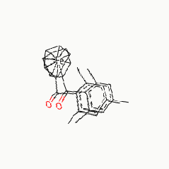 Cc1cc(C)c(C(=O)[C]23[CH]4[CH]5[CH]6[CH]2[Fe]56432789[CH]3[CH]2[CH]7[C]8(C(=O)c2c(C)cc(C)cc2C)[CH]39)c(C)c1